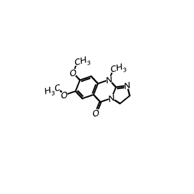 COc1cc2c(cc1OC)N(C)C1=NCCN1C2=O